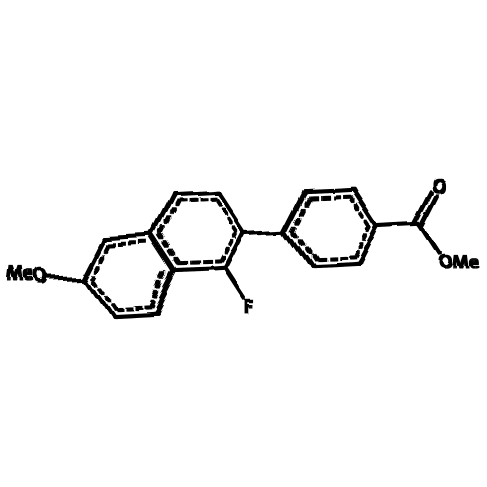 COC(=O)c1ccc(-c2ccc3cc(OC)ccc3c2F)cc1